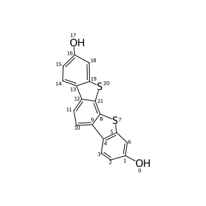 Oc1ccc2c(c1)sc1c2ccc2c3ccc(O)cc3sc21